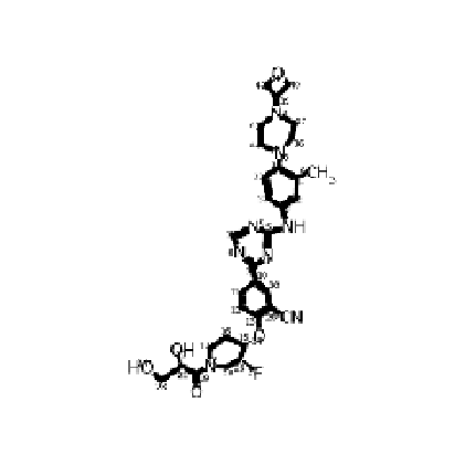 Cc1cc(Nc2ncnc(-c3ccc(O[C@H]4CCN(C(=O)[C@H](O)CO)C[C@@H]4F)c(C#N)c3)n2)ccc1N1CCN(C2COC2)CC1